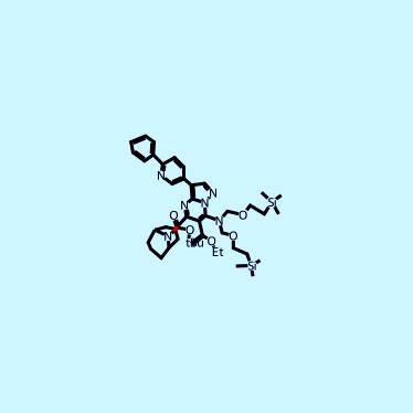 C=C(OCC)c1c(C2CC3CCCC(C2)N3C(=O)OC(C)(C)C)nc2c(-c3ccc(-c4ccccc4)nc3)cnn2c1N(COCC[Si](C)(C)C)COCC[Si](C)(C)C